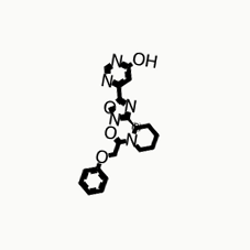 O=C(COc1ccccc1)N1CCCC[C@@H]1c1noc(-c2cc(O)ncn2)n1